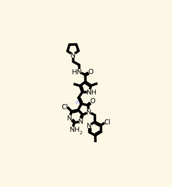 Cc1cnc(CN2C(=O)/C(=C\c3[nH]c(C)c(C(=O)NCCN4CCCC4)c3C)c3c(Cl)nc(N)nc32)c(Cl)c1